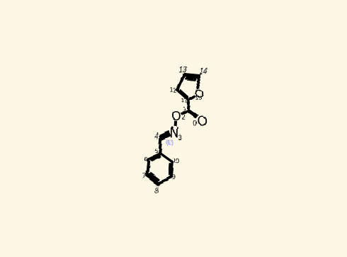 O=C(O/N=C/c1ccccc1)c1ccco1